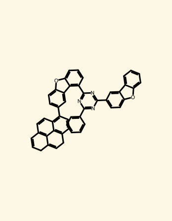 C1=Cc2ccc3c(-c4ccc5oc6cccc(-c7nc(-c8ccccc8)nc(-c8ccc9oc%10ccccc%10c9c8)n7)c6c5c4)ccc4c3c2C(=CC4)C1